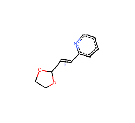 C(=C\C1OCCO1)/c1ccccn1